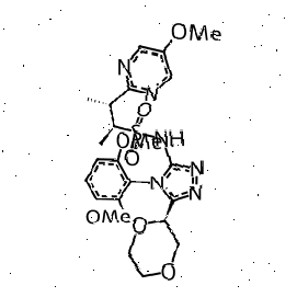 COc1cnc([C@@H](C)[C@H](C)S(=O)(=O)Nc2nnc([C@H]3COCCO3)n2-c2c(OC)cccc2OC)nc1